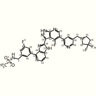 CS(=O)(=O)NCc1cc(F)cc(-c2nccc3[nH]c(-c4n[nH]c5ncc(-c6cncc(CN7CCC(F)(F)C7)c6)c(F)c45)nc23)c1